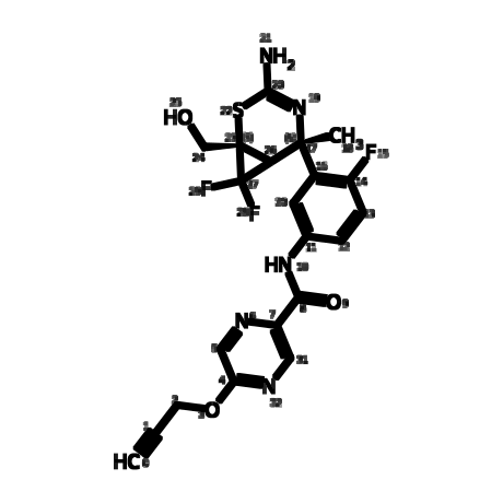 C#CCOc1cnc(C(=O)Nc2ccc(F)c([C@@]3(C)N=C(N)S[C@]4(CO)C3C4(F)F)c2)cn1